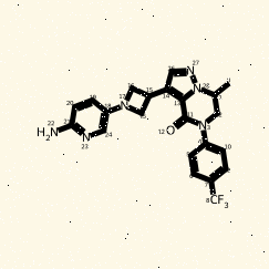 CC1CN(c2ccc(C(F)(F)F)cc2)C(=O)c2c(C3CN(c4ccc(N)nc4)C3)cnn21